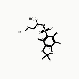 Cc1c(C)c(S(=O)(=O)N[C@@H](CCC(=O)O)C(=O)O)c(C)c2c1OC(C)(C)C2